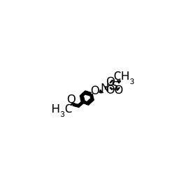 CCS(=O)(=O)ON=COc1ccc(CC(C)=O)cc1